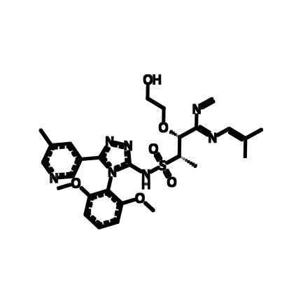 C=N/C(=N\C=C(C)C)[C@@H](OCCO)[C@H](C)S(=O)(=O)Nc1nnc(-c2cncc(C)c2)n1-c1c(OC)cccc1OC